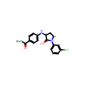 COC(=O)c1ccc(NC2CCN(c3cccc(Cl)c3)C2=O)cc1